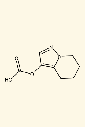 O=C(O)Oc1cnn2c1CCCC2